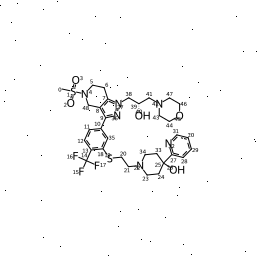 CS(=O)(=O)N1CCc2c(c(-c3ccc(C(F)(F)F)c(SCCN4CCC(O)(c5ccccn5)CC4)c3)nn2C[C@@H](O)CN2CCOCC2)C1